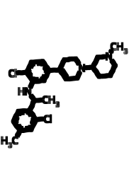 Cc1ccc(C(C)Nc2cc(C3=CCN(C4CCCN(C)C4)CC3)ccc2Cl)c(Cl)c1